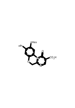 CCCCCCc1cc2c(cc1CCC)OCc1ncc(C(=O)O)c(=O)n1-2